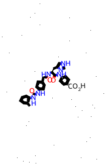 Cc1ccccc1NC(=O)Nc1ccc(CC(=O)N[C@@H](Cc2c[nH]cn2)C(=O)Nc2ccc(C(=O)O)cc2)cc1